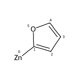 [Zn][c]1ccco1